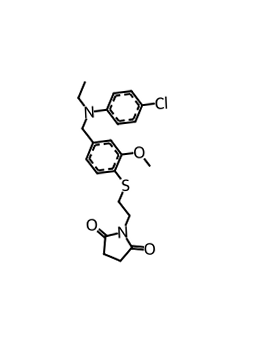 CCN(Cc1ccc(SCCN2C(=O)CCC2=O)c(OC)c1)c1ccc(Cl)cc1